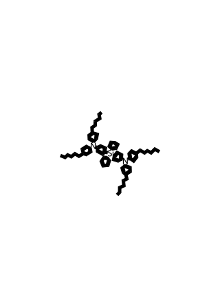 CCCCCCc1ccc(N(c2ccc(CCCCCC)cc2)c2ccc([Si](c3ccccc3)(c3ccccc3)c3ccc(N(c4ccc(CCCCCC)cc4)c4ccc(CCCCCC)cc4)cc3)cc2)cc1